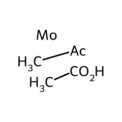 CC(=O)O.CC(C)=O.[Mo]